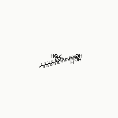 C=C(C)C(=O)O.CCCCCCCCCCCCCCCCCCNCC(O)O